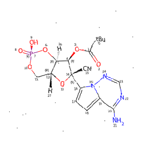 CC(C)(C)C(=O)O[C@@H]1[C@@H]2O[P@](=O)(O)OC[C@H]2O[C@@]1(C#N)c1ccc2c(N)ncnn12